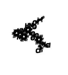 CCCCOC(=O)Nc1cc(COC(=O)Oc2ccc(N(CCCl)CCCl)cc2)cc(Nc2c3ccccc3nc3ccccc23)c1